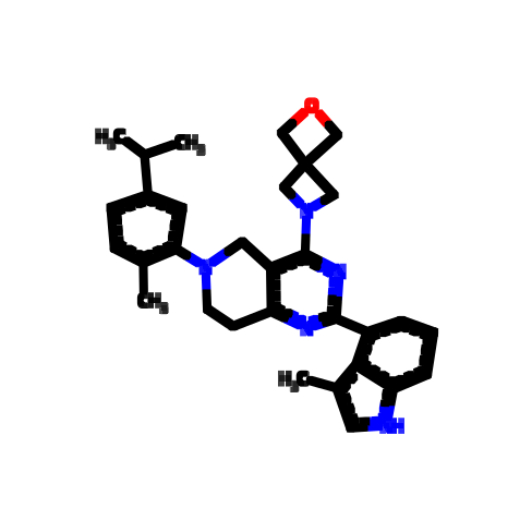 Cc1ccc(C(C)C)cc1N1CCc2nc(-c3cccc4[nH]cc(C)c34)nc(N3CC4(COC4)C3)c2C1